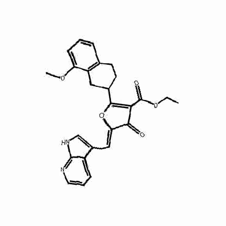 CCOC(=O)C1=C(C2CCc3cccc(OC)c3C2)O/C(=C\c2c[nH]c3ncccc23)C1=O